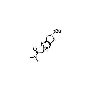 CN(C)C(=O)Cn1cc2c(n1)CN(C(C)(C)C)C2